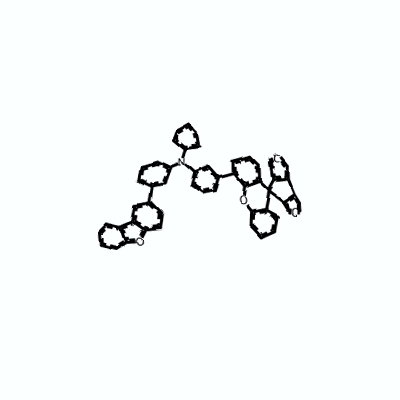 c1ccc(N(c2cccc(-c3ccc4oc5ccccc5c4c3)c2)c2cccc(-c3cccc4c3Oc3ccccc3C43c4ccccc4-c4ccccc43)c2)cc1